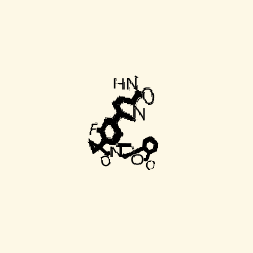 CNC(=O)c1ccc(-c2ccc(C3(C(=O)N4CC[C@@]5(C4)OC(=O)c4ccccc45)CC3)c(F)c2)cn1